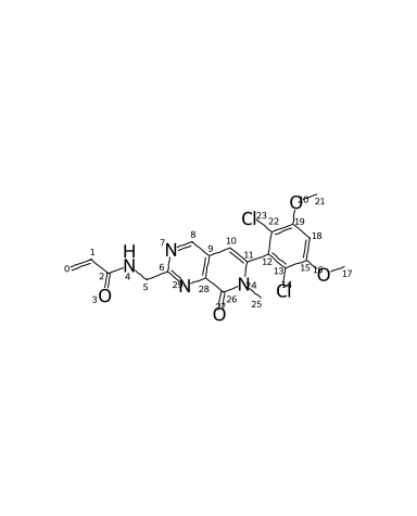 C=CC(=O)NCc1ncc2cc(-c3c(Cl)c(OC)cc(OC)c3Cl)n(C)c(=O)c2n1